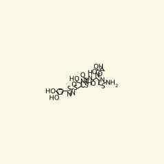 Nc1nc(C(=NOC2(C(=O)O)CC2)C(=O)N[C@@H]2C(=O)N3C(C(=O)O)=C(CSc4nnc(-c5ccc(O)c(O)c5)s4)CS[C@@H]23)cs1